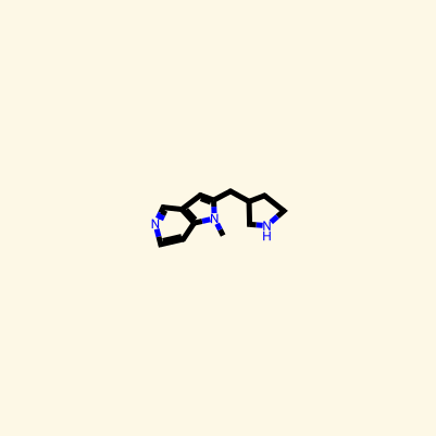 Cn1c(CC2CCNC2)cc2cnccc21